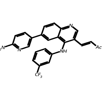 CC(=O)/C=C/c1cnc2ccc(-c3ccc(N)nc3)cc2c1Nc1cccc(C(F)(F)F)c1